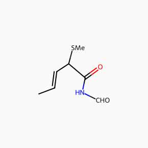 CC=CC(SC)C(=O)NC=O